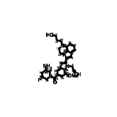 C#CCn1c(-c2cc3cccc4c3n2CCN4CCCO)nc2cc(C(=O)N3C[C@H](N)C[C@@H](F)C3)cc(OC)c21